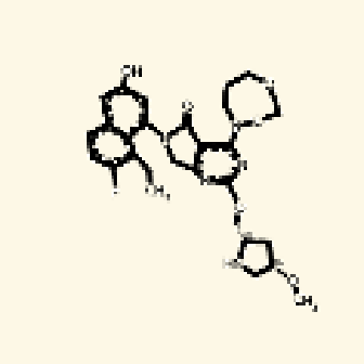 CCc1c(F)ccc2cc(O)cc(N3Cc4nc(OC[C@@H]5C[C@@H](OC)CN5)nc(N5CCCOCC5)c4C3=O)c12